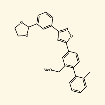 COCc1cc(-c2nc(-c3cccc(C4OCCO4)c3)no2)ccc1-c1ccccc1C